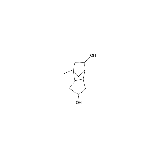 CC12CC(O)C(C1)C1CC(O)CC12